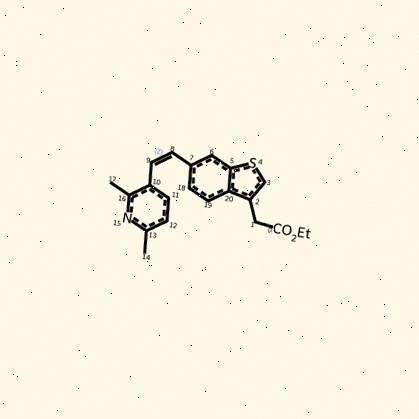 CCOC(=O)Cc1csc2cc(/C=C\c3ccc(C)nc3C)ccc12